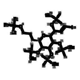 CC[Si](CC)(CC)OCCC[C@@H]1O[C@@H]([C@H](/C=C/I)O[Si](C)(C)C(C)(C)C)C(O[Si](C)(C)C(C)(C)C)C(O[Si](C)(C)C(C)(C)C)[C@H]1O[Si](C)(C)C(C)(C)C